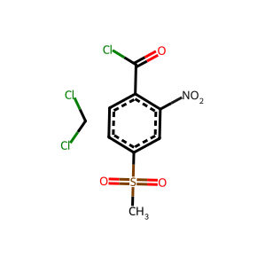 CS(=O)(=O)c1ccc(C(=O)Cl)c([N+](=O)[O-])c1.ClCCl